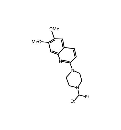 CCC(CC)N1CCN(c2ccc3cc(OC)c(OC)cc3n2)CC1